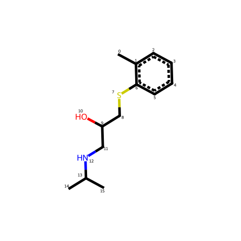 Cc1ccccc1SCC(O)CNC(C)C